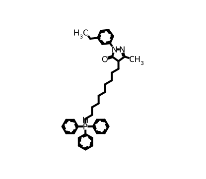 CCc1cccc(N2N=C(C)C(CCCCCCCCCC[PH](c3ccccc3)(c3ccccc3)c3ccccc3)C2=O)c1